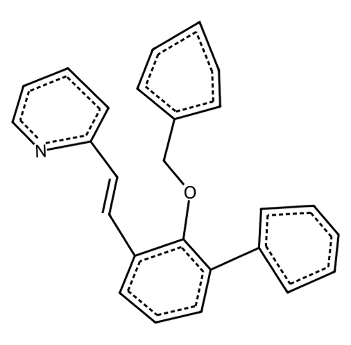 C(=Cc1cccc(-c2ccccc2)c1OCc1ccccc1)c1ccccn1